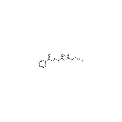 CCCNCC(O)COCC(=O)c1ccccc1